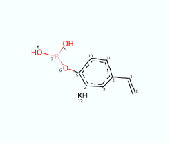 C=Cc1ccc(OB(O)O)cc1.[KH]